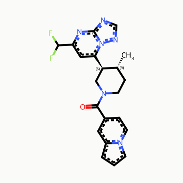 C[C@@H]1CCN(C(=O)c2ccn3cccc3c2)C[C@H]1c1cc(C(F)F)nc2ncnn12